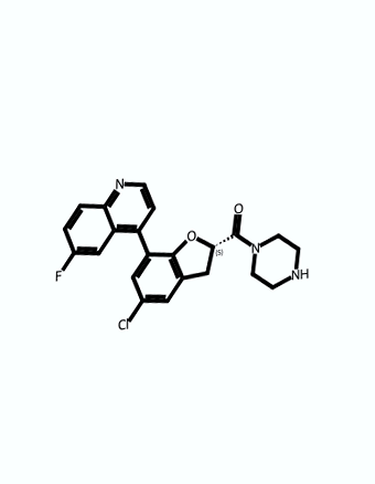 O=C([C@@H]1Cc2cc(Cl)cc(-c3ccnc4ccc(F)cc34)c2O1)N1CCNCC1